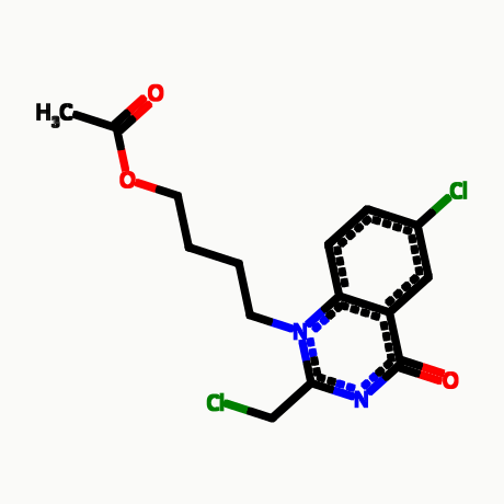 CC(=O)OCCCCn1c(CCl)nc(=O)c2cc(Cl)ccc21